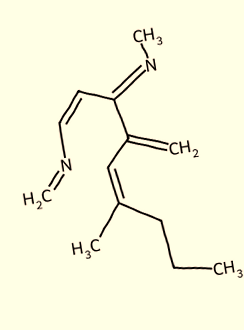 C=N/C=C\C(=N/C)C(=C)/C=C(/C)CCC